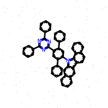 c1ccc(-c2nc(-c3ccccc3)nc(-c3cc(-c4ccccc4)c(-n4c5cc6ccccc6cc5c5ccc6ccccc6c54)cc3-c3ccccc3)n2)cc1